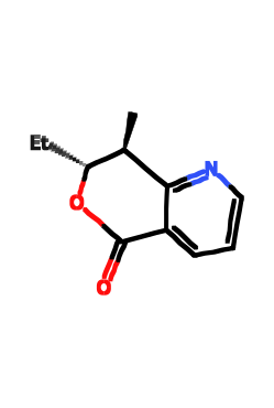 CC[C@H]1OC(=O)c2cccnc2[C@@H]1C